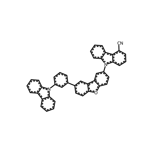 N#Cc1cccc2c1c1ccccc1n2-c1ccc2oc3ccc(-c4cccc(-n5c6ccccc6c6ccccc65)c4)cc3c2c1